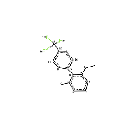 CCc1cccc(C)c1-c1ccc(C(F)(F)F)cc1